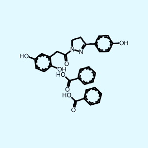 O=C(Cc1cc(O)ccc1O)N1CCC(c2ccc(O)cc2)=N1.O=C(O)c1ccccc1.O=C(O)c1ccccc1